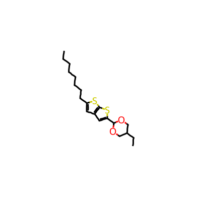 CCCCCCCCc1cc2cc(C3OCC(CC)CO3)sc2s1